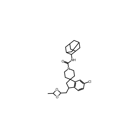 CC1OC(CC2CC3(CCN(C(=O)NC4C5CC6CC(C5)CC4C6)CC3)c3cc(Cl)ccc32)O1